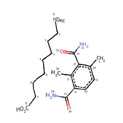 CCCCCCCCCCCCCCCCCC(=O)O.Cc1ccc(C(N)=O)c(C)c1C(N)=O